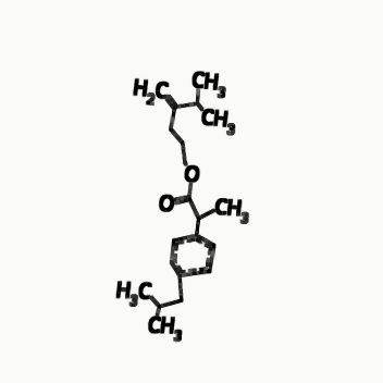 C=C(CCCOC(=O)C(C)c1ccc(CC(C)C)cc1)C(C)C